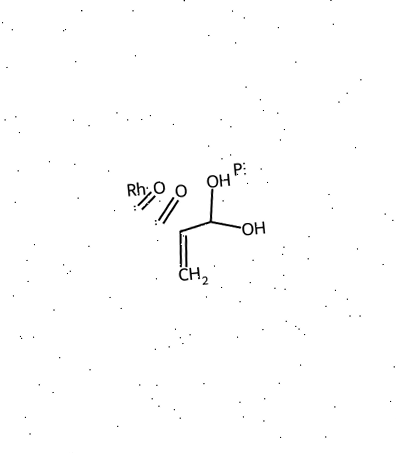 C=CC(O)O.[C]=O.[C]=O.[P].[Rh]